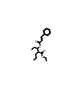 CCCC(C(=O)OCC)C(CC)OC(=O)/C=C/c1ccccc1